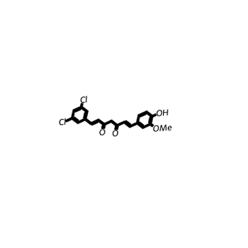 COc1cc(/C=C/C(=O)CC(=O)/C=C/c2cc(Cl)cc(Cl)c2)ccc1O